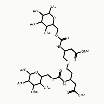 COC(=O)CC(CSSCC(CC(=O)OC)NC(=O)OCC1OC(OC(C)=O)C(OC(C)=O)C(OC(C)=O)C1OC(C)=O)NC(=O)OCC1OC(OC(C)=O)C(OC(C)=O)C(OC(C)=O)C1OC(C)=O